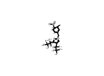 Cc1cc(Cn2cc(C(F)(F)C(F)(F)F)c(C(F)(F)C(F)(F)F)n2)ccc1[N+](=O)[O-]